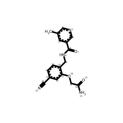 Cc1cncc(C(=O)NCc2ccc(C#N)cc2OCC(N)=O)c1